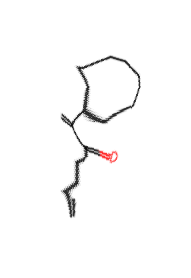 C=CCCC(=O)C(=C)C1CCCCCCC1